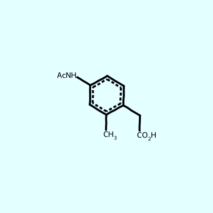 CC(=O)Nc1ccc(CC(=O)O)c(C)c1